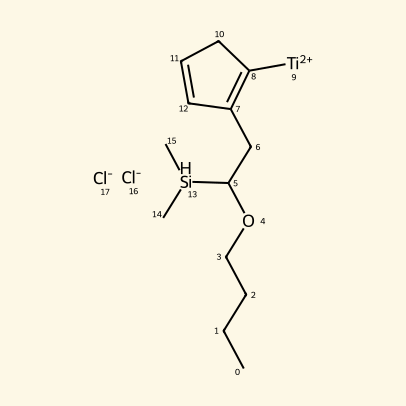 CCCCOC(CC1=[C]([Ti+2])CC=C1)[SiH](C)C.[Cl-].[Cl-]